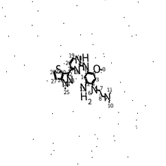 COc1cc(N(C)CCN(C)C)c(N)cc1Nc1nccc(-c2nn(C)c3ccsc23)n1